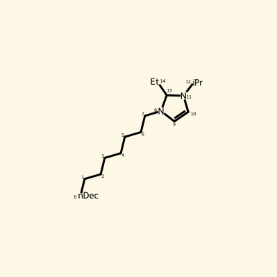 CCCCCCCCCCCCCCCCCN1C=CN(C(C)C)C1CC